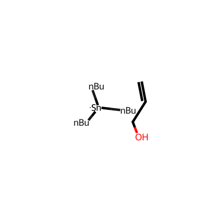 C=CCO.CCC[CH2][Sn]([CH2]CCC)[CH2]CCC